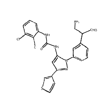 NCC(C=O)c1cccc(-n2nc(-c3ccsc3)cc2NC(=O)Nc2cccc(Cl)c2Cl)c1